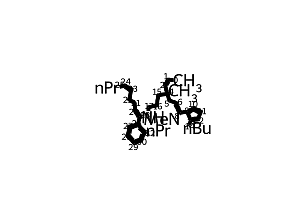 C/C=C\C(C)(C/C=C(\NC)C1=C=CC=C1CCCC)CCCN/C(=C\CC/C=C\CCC)c1ccccc1CCC